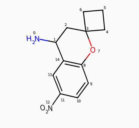 NC1CC2(CCC2)Oc2ccc([N+](=O)[O-])cc21